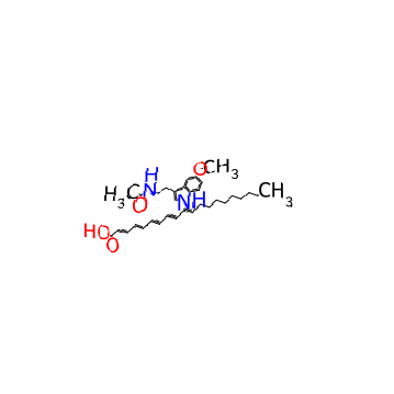 CCCCCCCCCC=CC=CC=CC=CC=CC(=O)O.COc1ccc2[nH]cc(CCNC(C)=O)c2c1